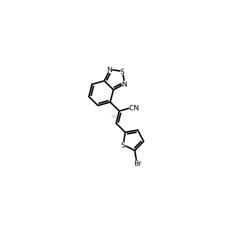 N#C/C(=C\c1ccc(Br)s1)c1cccc2nsnc12